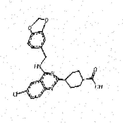 O=C(O)[C@H]1CC[C@@H](c2nc(NCc3ccc4c(c3)OCO4)c3cc(Cl)ccc3n2)CC1